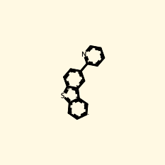 [c]1ccc2sc3ccc(-c4ccccn4)cc3c2c1